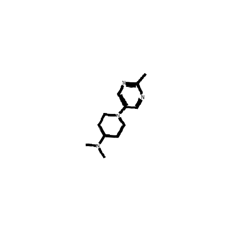 Cc1ncc(N2CCC(N(C)C)CC2)cn1